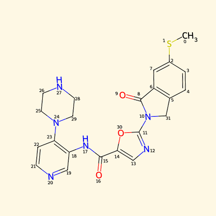 CSc1ccc2c(c1)C(=O)N(c1ncc(C(=O)Nc3cnccc3N3CCNCC3)o1)C2